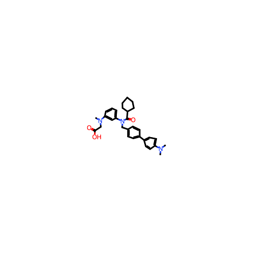 CN(C)c1ccc(-c2ccc(CN(C(=O)C3CCCCC3)c3cccc(N(C)CC(=O)O)c3)cc2)cc1